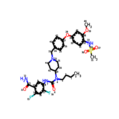 CCCCN(C(=O)Nc1cc(C(N)=O)c(F)cc1F)C1CCN(Cc2ccc(Oc3ccc(NS(C)(=O)=O)c(OC)c3)cc2)CC1